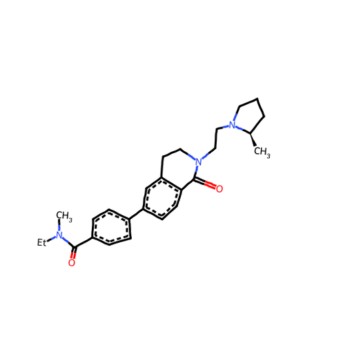 CCN(C)C(=O)c1ccc(-c2ccc3c(c2)CCN(CCN2CCC[C@H]2C)C3=O)cc1